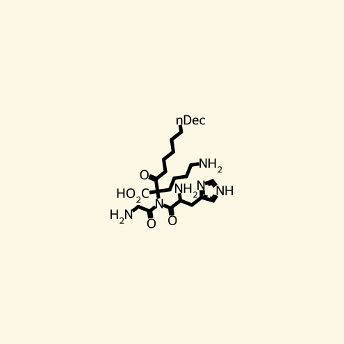 CCCCCCCCCCCCCCCC(=O)C(CCCCN)(C(=O)O)N(C(=O)CN)C(=O)C(N)Cc1c[nH]cn1